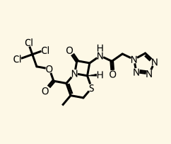 CC1=C(C(=O)OCC(Cl)(Cl)Cl)N2C(=O)C(NC(=O)Cn3cnnn3)[C@@H]2SC1